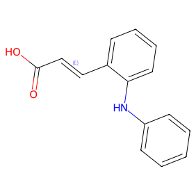 O=C(O)/C=C/c1ccccc1Nc1ccccc1